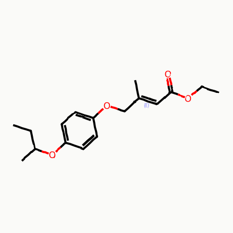 CCOC(=O)/C=C(\C)COc1ccc(OC(C)CC)cc1